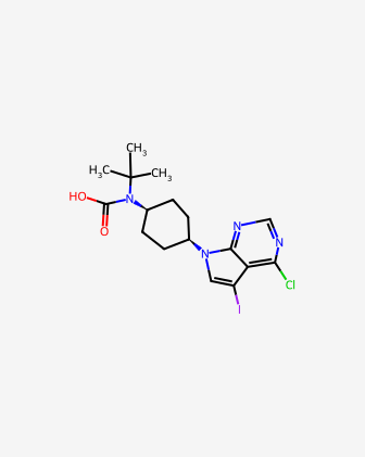 CC(C)(C)N(C(=O)O)[C@H]1CC[C@@H](n2cc(I)c3c(Cl)ncnc32)CC1